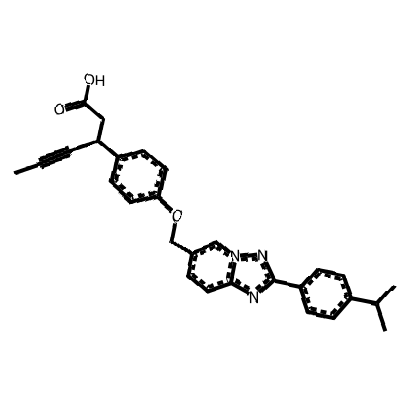 CC#CC(CC(=O)O)c1ccc(OCc2ccc3nc(-c4ccc(C(C)C)cc4)nn3c2)cc1